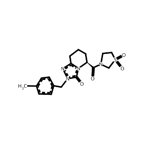 Cc1ccc(Cn2nc3n(c2=O)[C@H](C(=O)N2CCS(=O)(=O)C2)CCC3)cc1